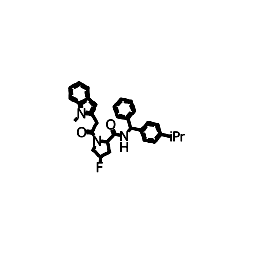 CC(C)c1ccc(C(NC(=O)C2CC(F)CN2C(=O)Cc2cc3ccccc3n2C)c2ccccc2)cc1